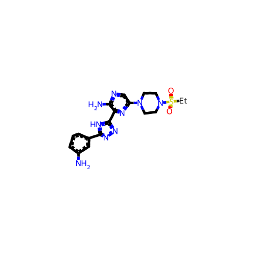 CCS(=O)(=O)N1CCN(c2cnc(N)c(-c3nnc(-c4cccc(N)c4)[nH]3)n2)CC1